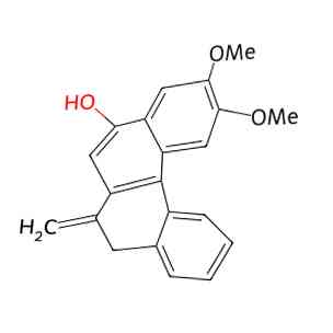 C=C1Cc2ccccc2-c2c1cc(O)c1cc(OC)c(OC)cc21